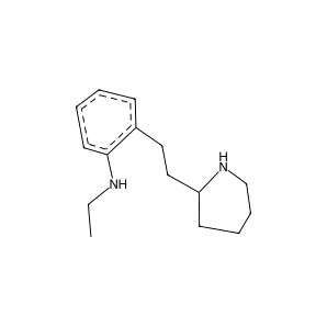 CCNc1ccccc1CCC1CCCCN1